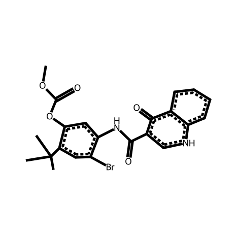 COC(=O)Oc1cc(NC(=O)c2c[nH]c3ccccc3c2=O)c(Br)cc1C(C)(C)C